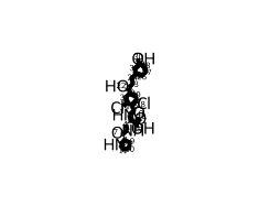 O=C(N[C@@H](CNC(=O)[C@@H]1CCCN1)C(=O)O)c1c(Cl)cc(C(O)CCc2cccc(O)c2)cc1Cl